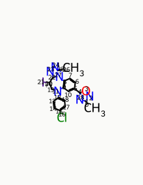 Cc1noc(-c2ccc3c(c2)N(c2ccc(Cl)cc2)C[C@@H](I)c2nnc(C)n2-3)n1